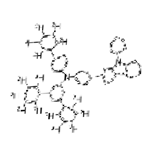 [2H]c1c([2H])c([2H])c(-c2ccc(N(c3ccc(-c4ccc5c6ccccc6n(-c6ccccc6)c5c4)cc3)c3cc(-c4c([2H])c([2H])c([2H])c([2H])c4[2H])cc(-c4c([2H])c([2H])c([2H])c([2H])c4[2H])c3)cc2)c([2H])c1[2H]